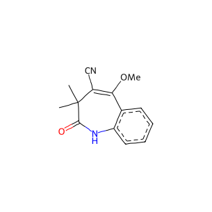 COC1=C(C#N)C(C)(C)C(=O)Nc2ccccc21